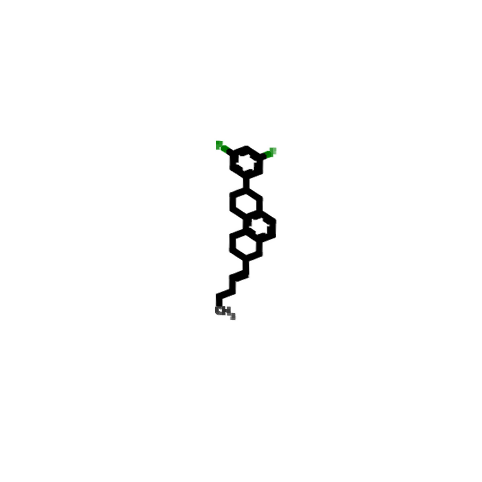 CCCC=CC1CCc2c(ccc3c2CCC(c2cc(F)cc(F)c2)C3)C1